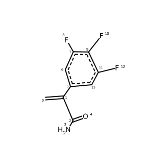 C=C(C(N)=O)c1cc(F)c(F)c(F)c1